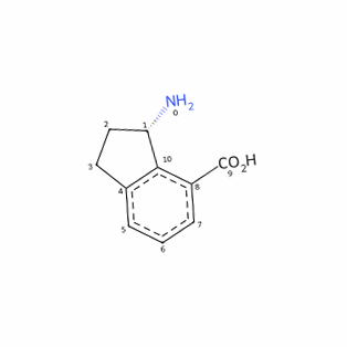 N[C@H]1CCc2cccc(C(=O)O)c21